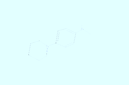 O=C(O)Nc1ccc(N2CCCCC2)cc1